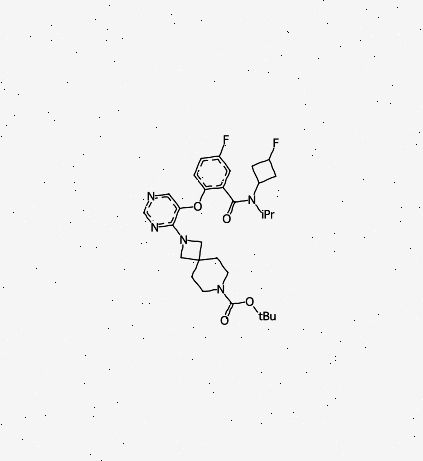 CC(C)N(C(=O)c1cc(F)ccc1Oc1cncnc1N1CC2(CCN(C(=O)OC(C)(C)C)CC2)C1)C1CC(F)C1